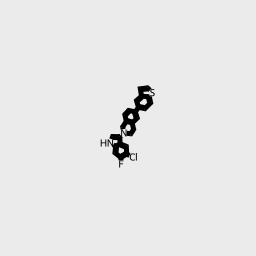 Fc1cc2[nH]cc(N3CCc4cc(-c5ccc6sccc6c5)ccc4C3)c2cc1Cl